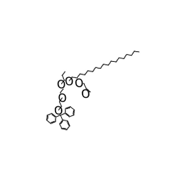 CCCCCCCCCCCCCCCCC(COC(CC)OCCOCCOC(c1ccccc1)(c1ccccc1)c1ccccc1)OCC1CO1